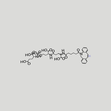 O=C(O)CCC(NP(=O)(O)OCCC(NC(=O)CC[C@@H](NC(=O)CCCCC(=O)N1Cc2ccccc2/C=C\c2ccccc21)C(=O)O)C(=O)O)C(=O)O